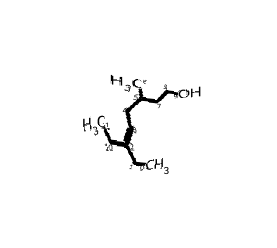 CCC(=CCC(C)CCO)CC